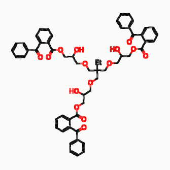 CCC(COCC(O)COC(=O)c1ccccc1C(=O)c1ccccc1)(COCC(O)COC(=O)c1ccccc1C(=O)c1ccccc1)COCC(O)COC(=O)c1ccccc1C(=O)c1ccccc1